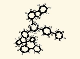 C1=CC2c3ccccc3C3(c4ccccc4-c4ccc(-c5cc(-c6ccc(-c7ccccc7)cc6)nc(-c6cccc7c6oc6ccccc67)n5)cc43)c3ccccc3C2C=C1